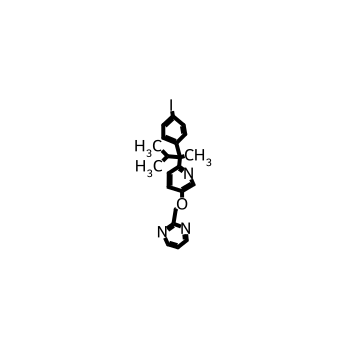 CC(C)C(C)(c1ccc(I)cc1)c1ccc(OCc2ncccn2)cn1